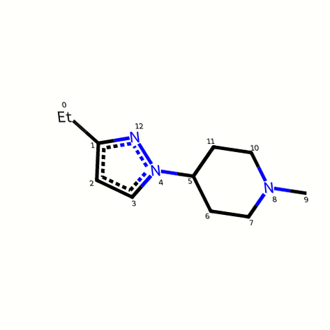 CCc1ccn(C2CCN(C)CC2)n1